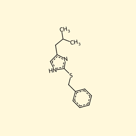 CC(C)Cc1c[nH]c(SCc2ccccc2)n1